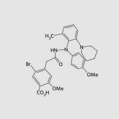 COc1ccc(N(NC(=O)Cc2cc(OC)c(C(=O)O)cc2Br)c2c(C)cccc2N2CCCCC2)cc1